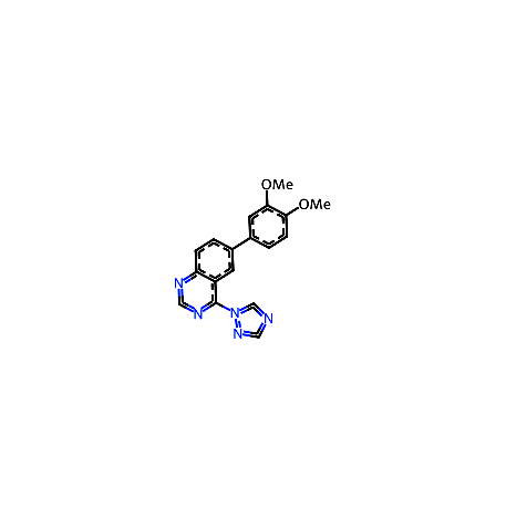 COc1ccc(-c2ccc3ncnc(-n4cncn4)c3c2)cc1OC